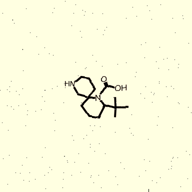 CC(C)(C)C1CCCC2(CCCNC2)N1C(=O)O